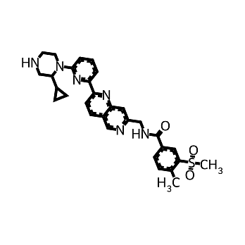 Cc1ccc(C(=O)NCc2cc3nc(-c4cccc(N5CCNCC5C5CC5)n4)ccc3cn2)cc1S(C)(=O)=O